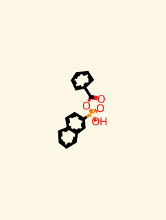 O=C(OP(=O)(O)c1ccc2ccccc2c1)c1ccccc1